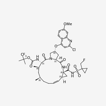 COc1ccc2c(O[C@@H]3C[C@H]4C(=O)N[C@]5(C(=O)NS(=O)(=O)C6(CF)CC6)C[C@H]5C=CCC[C@@H](C)C[C@@H](C)[C@H](NC(=O)OC(C)(C)C(F)(F)F)C(=O)N4C3)cc(Cl)nc2c1